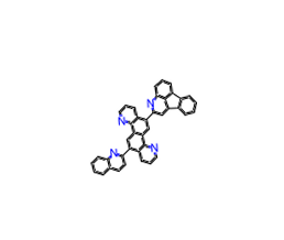 c1ccc2c(c1)-c1cccc3nc(-c4cc5c(cc(-c6ccc7ccccc7n6)c6cccnc65)c5ncccc45)cc-2c13